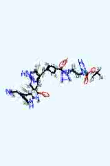 CN(C(=O)C1=CC2=C(c3ccc(C(=O)NCCNC(=O)OC(C)(C)C)cc3)CNN2C=C1)C1C=CC(C#N)=CN1